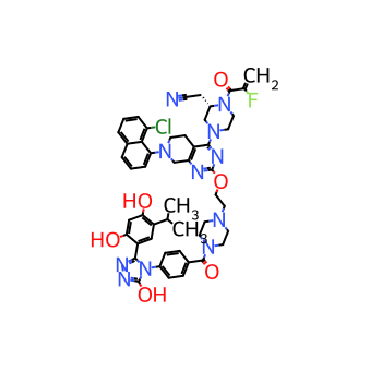 C=C(F)C(=O)N1CCN(c2nc(OCCN3CCN(C(=O)c4ccc(-n5c(O)nnc5-c5cc(C(C)C)c(O)cc5O)cc4)CC3)nc3c2CCN(c2cccc4cccc(Cl)c24)C3)C[C@@H]1CC#N